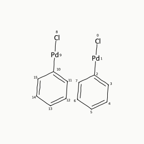 [Cl][Pd][c]1ccccc1.[Cl][Pd][c]1ccccc1